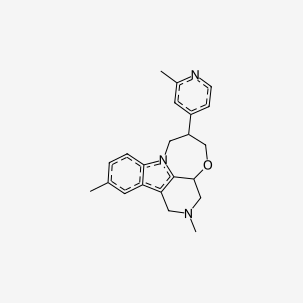 Cc1ccc2c(c1)c1c3n2CC(c2ccnc(C)c2)COC3CN(C)C1